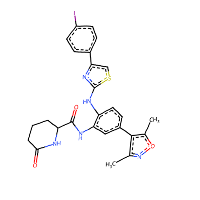 Cc1noc(C)c1-c1ccc(Nc2nc(-c3ccc(I)cc3)cs2)c(NC(=O)C2CCCC(=O)N2)c1